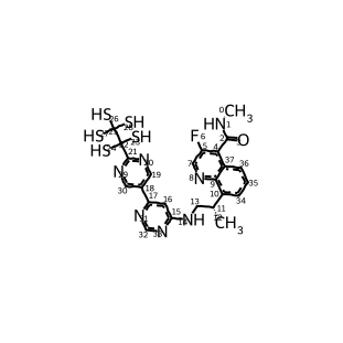 CNC(=O)c1c(F)cnc2c([C@H](C)CNc3cc(-c4cnc(C(S)(S)C(S)(S)S)nc4)ncn3)cccc12